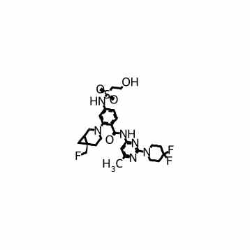 Cc1cc(NC(=O)c2ccc(NS(=O)(=O)CCO)cc2N2CC[C@]3(CF)CC3C2)nc(N2CCC(F)(F)CC2)n1